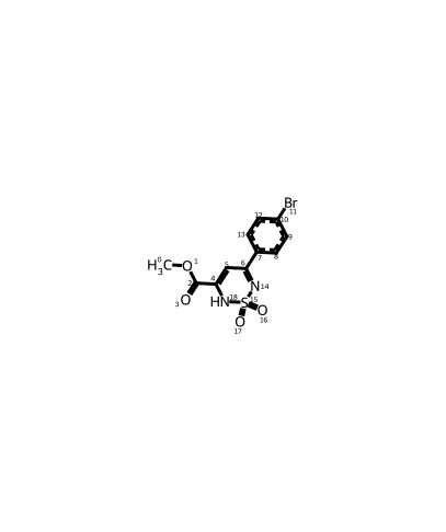 COC(=O)C1=CC(c2ccc(Br)cc2)=NS(=O)(=O)N1